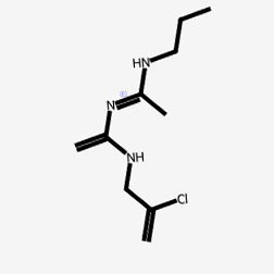 C=C(Cl)CNC(=C)/N=C(\C)NCCC